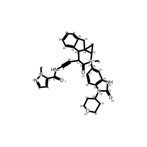 Cn1nccc1C(=O)NC#CC1C(=O)[N+](C)(c2ccc3c(c2)[nH]c(=O)n3C2CCOCC2)C2CC23Cc2ccccc2C13